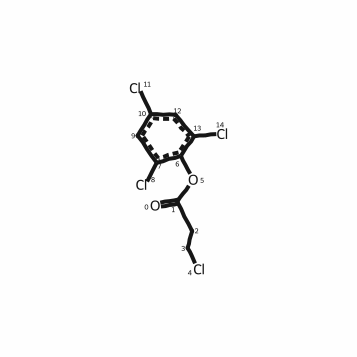 O=C(CCCl)Oc1c(Cl)cc(Cl)cc1Cl